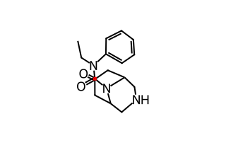 CCN(C(=O)N1C2CNCC1CC(=O)C2)c1ccccc1